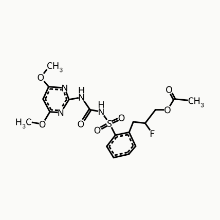 COc1cc(OC)nc(NC(=O)NS(=O)(=O)c2ccccc2CC(F)COC(C)=O)n1